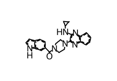 O=C(c1ccc2cc[nH]c2c1)N1CCN(c2nc3ccccc3nc2NC2CC2)CC1